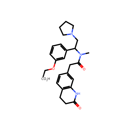 CN(C(=O)Cc1ccc2c(c1)NC(=O)CC2)C(CN1CCCC1)c1cccc(OCC(=O)O)c1